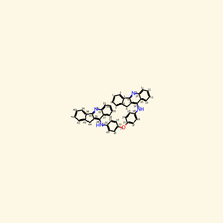 c1ccc2c(c1)Cc1c-2nc2ccccc2c1Nc1ccc(Oc2ccc(Nc3c4c(nc5ccccc35)-c3ccccc3C4)cc2)cc1